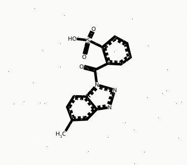 Cc1ccc2c(c1)nnn2C(=O)c1ccccc1S(=O)(=O)O